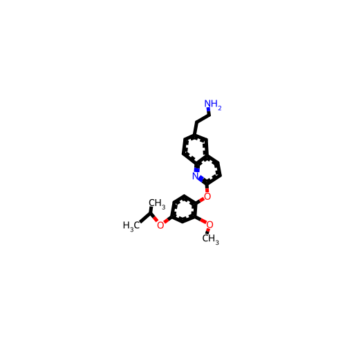 COc1cc(OC(C)C)ccc1Oc1ccc2cc(CCN)ccc2n1